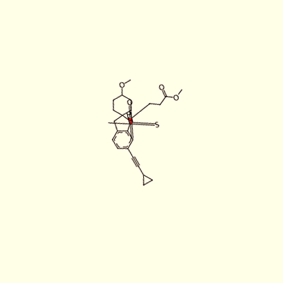 COC(=O)CCN1C(=O)C2(NC1=S)c1cc(C#CC3CC3)ccc1CC21CCC(OC)CC1